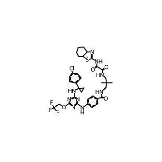 CC(C)(CNC(=O)C(=O)NC1=NC2CCCCC2S1)CNC(=O)c1ccc(Nc2nc(NC3(c4ccc(Cl)cc4)CC3)nc(OCC(F)(F)F)n2)cc1